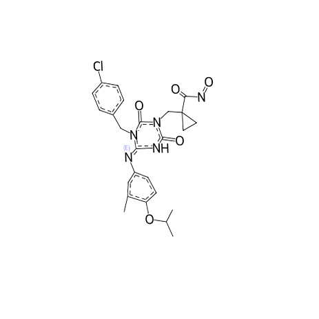 Cc1cc(/N=c2\[nH]c(=O)n(CC3(C(=O)N=O)CC3)c(=O)n2Cc2ccc(Cl)cc2)ccc1OC(C)C